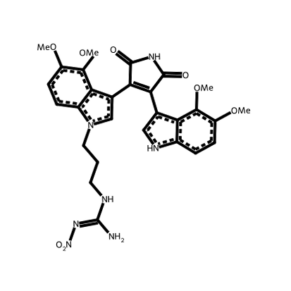 COc1ccc2[nH]cc(C3=C(c4cn(CCCNC(N)=N[N+](=O)[O-])c5ccc(OC)c(OC)c45)C(=O)NC3=O)c2c1OC